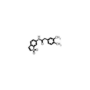 Cc1ccc(CC(=O)Nc2ccc3c(c2)S(=O)(=O)C=C3)cc1C